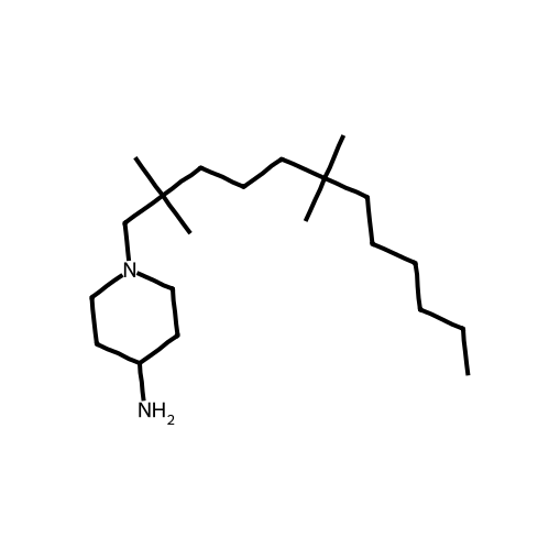 CCCCCCC(C)(C)CCCC(C)(C)CN1CCC(N)CC1